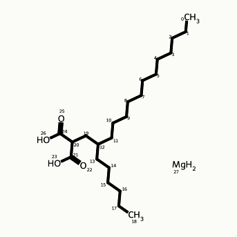 CCCCCCCCCCCCC(CCCCCC)CC(C(=O)O)C(=O)O.[MgH2]